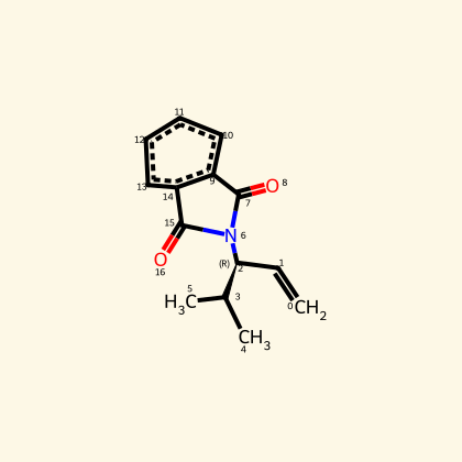 C=C[C@@H](C(C)C)N1C(=O)c2ccccc2C1=O